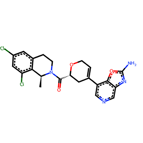 C[C@H]1c2c(Cl)cc(Cl)cc2CCN1C(=O)[C@H]1CC(c2cncc3nc(N)oc23)=CCO1